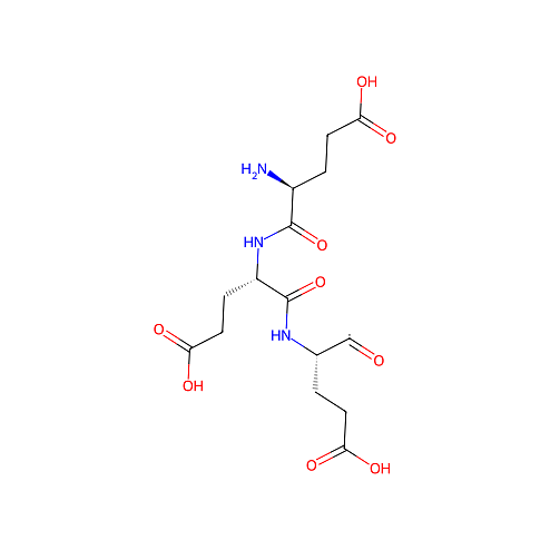 N[C@@H](CCC(=O)O)C(=O)N[C@@H](CCC(=O)O)C(=O)N[C@H]([C]=O)CCC(=O)O